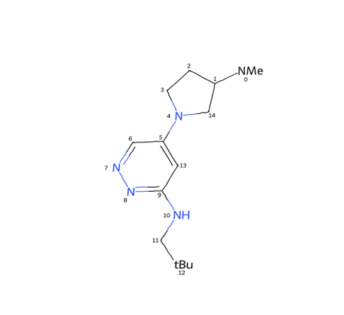 CNC1CCN(c2cnnc(NCC(C)(C)C)c2)C1